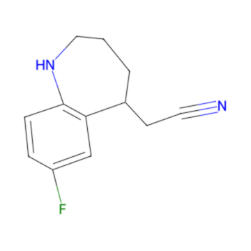 N#CCC1CCCNc2ccc(F)cc21